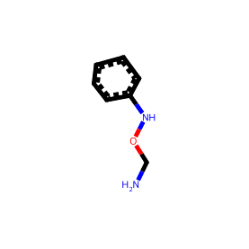 NCONc1ccccc1